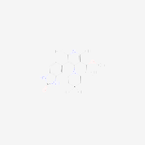 Cc1nc(C)c(C(OC(C)(C)C)C(=O)O)c(N2CCC(C)(C)CC2)c1-c1ccc2[nH]c(=O)[nH]c2c1